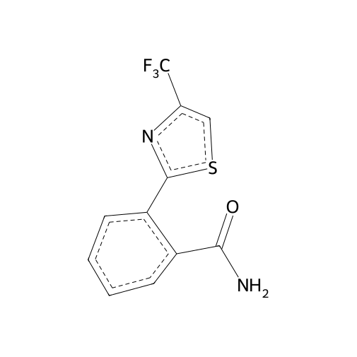 NC(=O)c1ccccc1-c1nc(C(F)(F)F)cs1